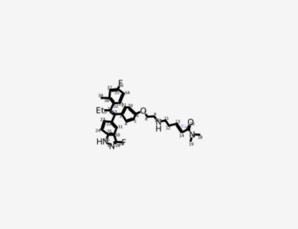 CC/C(=C(/c1ccc(OCCNCC/C=C/C(=O)N(C)C)cc1)c1ccc2[nH]nc(F)c2c1)c1ccc(F)cc1C